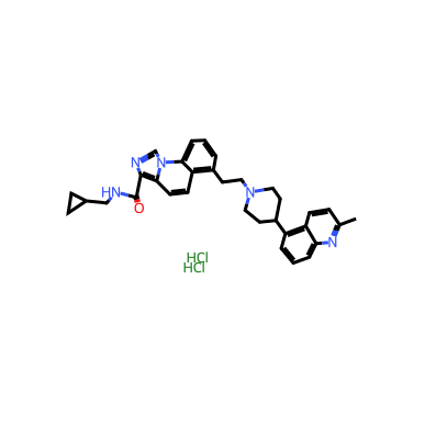 Cc1ccc2c(C3CCN(CCc4cccc5c4ccc4c(C(=O)NCC6CC6)ncn45)CC3)cccc2n1.Cl.Cl